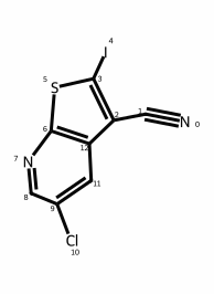 N#Cc1c(I)sc2ncc(Cl)cc12